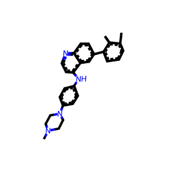 Cc1cccc(-c2ccc3nccc(Nc4ccc(N5CCN(C)CC5)cc4)c3c2)c1C